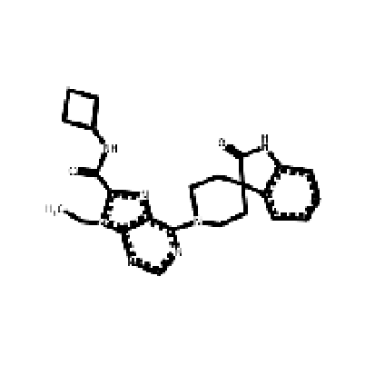 CCn1c(C(=O)NC2CCC2)nc2c(N3CCC4(CC3)C(=O)Nc3ccccc34)ncnc21